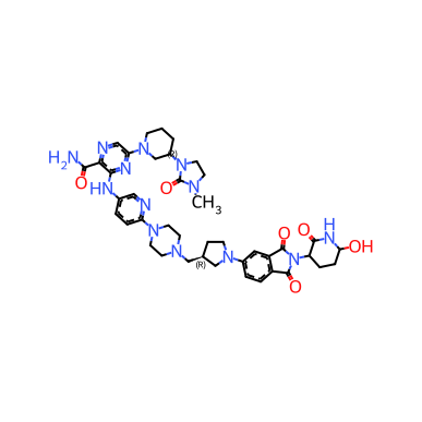 CN1CCN([C@@H]2CCCN(c3cnc(C(N)=O)c(Nc4ccc(N5CCN(C[C@H]6CCN(c7ccc8c(c7)C(=O)N(C7CCC(O)NC7=O)C8=O)C6)CC5)nc4)n3)C2)C1=O